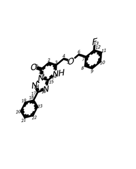 O=c1cc(COCc2ccccc2F)[nH]c2nc(-c3ccccc3)nn12